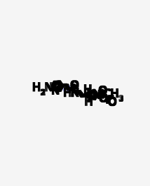 CC1(OC(=O)N2C[C@@H]3C(CCNC(=O)/C=C/c4ccc(N)nc4)[C@@H]3C2)COC1